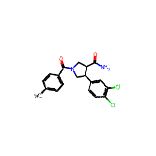 N#Cc1ccc(C(=O)N2CC(C(N)=O)C(c3ccc(Cl)c(Cl)c3)C2)cc1